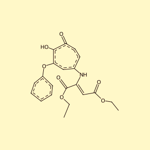 CCOC(=O)/C=C(\Nc1ccc(=O)c(O)c(Oc2ccccc2)c1)C(=O)OCC